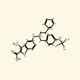 Cc1c(C(=O)O)oc2ccc(SN(CCc3ccccc3)Cc3ccc(OC(F)(F)F)cc3)cc12